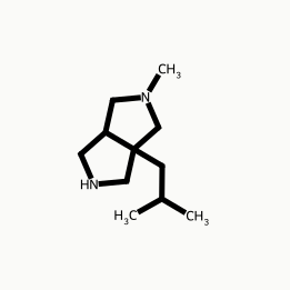 CC(C)CC12CNCC1CN(C)C2